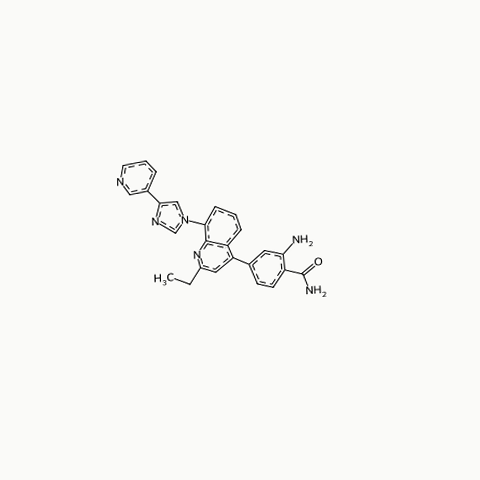 CCc1cc(-c2ccc(C(N)=O)c(N)c2)c2cccc(-n3cnc(-c4cccnc4)c3)c2n1